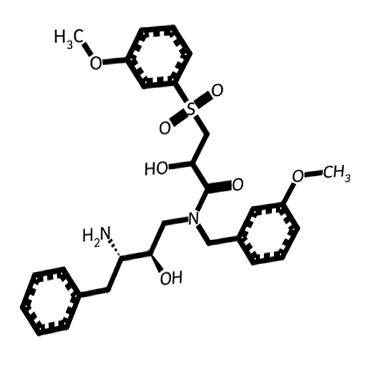 COc1cccc(CN(C[C@@H](O)[C@@H](N)Cc2ccccc2)C(=O)C(O)CS(=O)(=O)c2cccc(OC)c2)c1